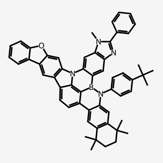 Cn1c(-c2ccccc2)nc2cc3c(cc21)-n1c2cc4oc5ccccc5c4cc2c2ccc4c(c21)B3N(c1ccc(C(C)(C)C)cc1)c1cc2c(cc1-4)C(C)(C)CCC2(C)C